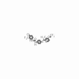 Cc1c(OCC(F)(F)F)ccnc1CSc1ccc(NC(=O)Nc2ccc(Cl)c(C(F)(F)F)c2)cc1